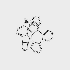 Brc1ccc2c(c1)C1(c3ccccc3-c3ccccc3-2)c2ccccc2-c2ccc3sc4ccccc4c3c21